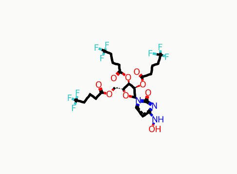 O=C(CCCC(F)(F)F)OC[C@H]1O[C@@H](n2ccc(NO)nc2=O)[C@H](OC(=O)CCCC(F)(F)F)[C@@H]1OC(=O)CCCC(F)(F)F